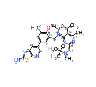 Cc1cc(-c2cnc3sc(N)nc3c2)cc2c1OCCN(c1nc(CN(C)C(C)(C)C)nc(C)c1C(C)C)C2